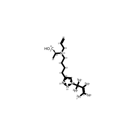 [2H]C([2H])=C([2H])C([2H])([2H])n1cc(CCCCN(CC=C)[C@@H](C)C(=O)O)nn1